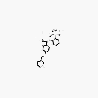 CCOC(=O)c1sc2cc(OCc3cccnc3)ccc2c1Sc1ccccc1N(S(C)(=O)=O)S(C)(=O)=O